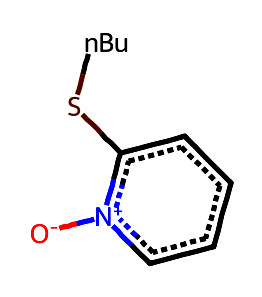 CCCCSc1cccc[n+]1[O-]